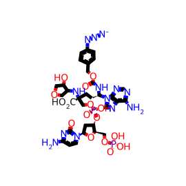 [N-]=[N+]=Nc1ccc(COC(=O)N[C@@H](CC[C@](COP(=O)(O)O[C@H]2C[C@H](n3ccc(N)nc3=O)O[C@@H]2COP(=O)(O)O)(NC2COCC2O)C(=O)O)n2cnc3c(N)ncnc32)cc1